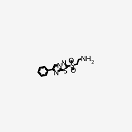 NCCS(=O)(=O)c1nn2cc(-c3ccccc3)nc2s1